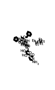 CCN(CC)CC.CCN(CC)CC.C[C@H](NP(=O)(Oc1ccccc1)OP(=O)(O)OP(=O)(O)OC[C@H]1O[C@@H](n2ccc(N)nc2=O)[C@@H](O)[C@@H]1O)C(=O)OCc1ccccc1